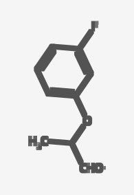 CC([C]=O)Oc1cccc(F)c1